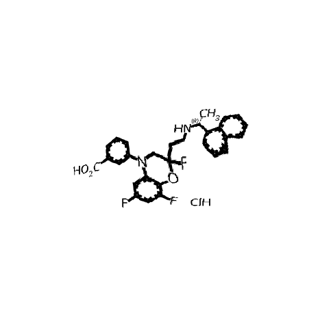 C[C@@H](NCCC1(F)CN(c2cccc(C(=O)O)c2)c2cc(F)cc(F)c2O1)c1cccc2ccccc12.Cl